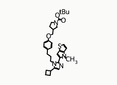 Cn1c(-c2ncc(C3CCC3)n2CCCc2ccc(OCC3CCN(C(=O)OC(C)(C)C)C3)cc2)cc2sccc21